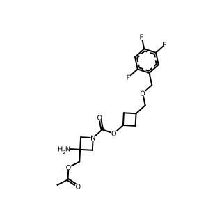 CC(=O)OCC1(N)CN(C(=O)OC2CC(COCc3cc(F)c(F)cc3F)C2)C1